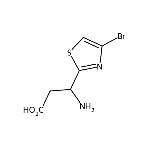 NC(CC(=O)O)c1nc(Br)cs1